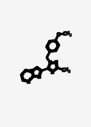 COc1ccc(Cn2nc(C)nc2-c2cn3cccnc3n2)cc1